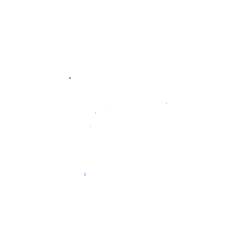 Cc1cc(C(=O)NC(CCC(C)C)C(=O)NN(C[C@@H]2CCNC2=O)C(=O)O)no1